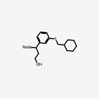 CNC(CCO)c1cccc(SCC2CCCCC2)c1